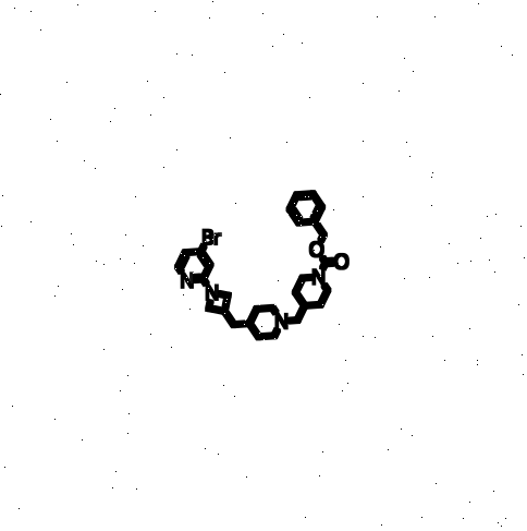 O=C(OCc1ccccc1)N1CCC(CN2CCC(CC3CN(c4cc(Br)ccn4)C3)CC2)CC1